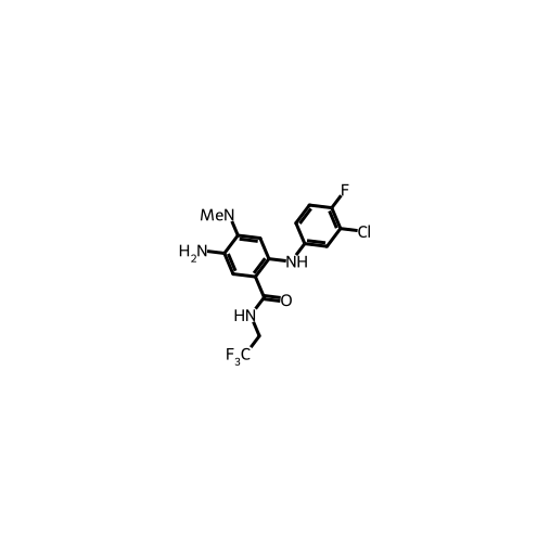 CNc1cc(Nc2ccc(F)c(Cl)c2)c(C(=O)NCC(F)(F)F)cc1N